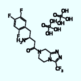 N[C@H](CC(=O)N1CCn2c(nnc2C(F)(F)F)C1)Cc1cc(F)c(F)cc1F.O=P(O)(O)O.O=P(O)(O)O